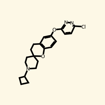 Clc1ccc(Oc2ccc3c(c2)CCC2(CCN(C4CCC4)CC2)O3)nn1